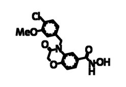 COc1cc(CN2C(=O)COc3ccc(C(=O)NO)cc32)ccc1Cl